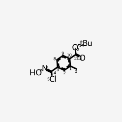 Cc1cc(/C(Cl)=N/O)ccc1C(=O)OC(C)(C)C